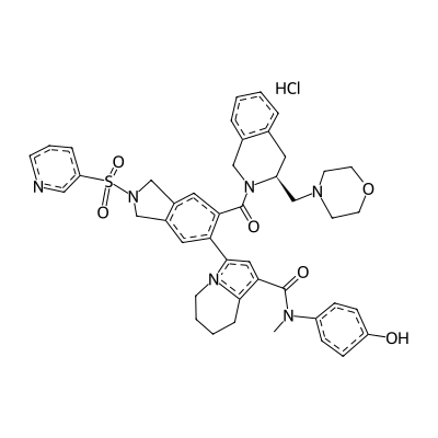 CN(C(=O)c1cc(-c2cc3c(cc2C(=O)N2Cc4ccccc4C[C@H]2CN2CCOCC2)CN(S(=O)(=O)c2cccnc2)C3)n2c1CCCC2)c1ccc(O)cc1.Cl